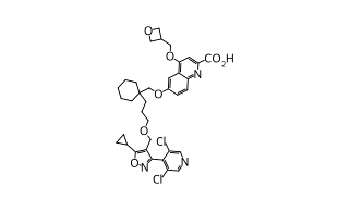 O=C(O)c1cc(OCC2COC2)c2cc(OCC3(CCCOCc4c(-c5c(Cl)cncc5Cl)noc4C4CC4)CCCCC3)ccc2n1